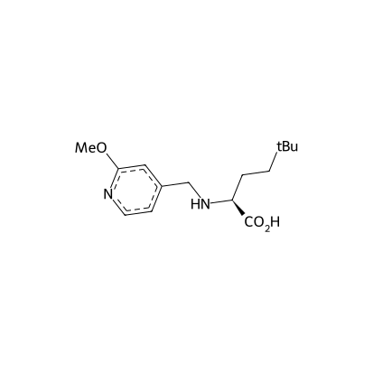 COc1cc(CN[C@@H](CCC(C)(C)C)C(=O)O)ccn1